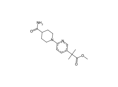 COC(=O)C(C)(C)c1ccc(N2CCC(C(N)=O)CC2)nc1